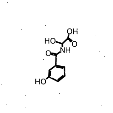 O=C(NC(O)C(=O)O)c1cccc(O)c1